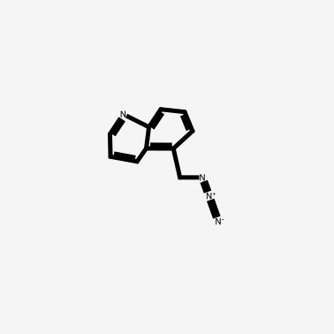 [N-]=[N+]=NCc1cccc2ncccc12